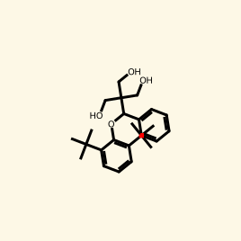 CC(C)(C)c1cccc(C(C)(C)C)c1OC(c1ccccc1)C(CO)(CO)CO